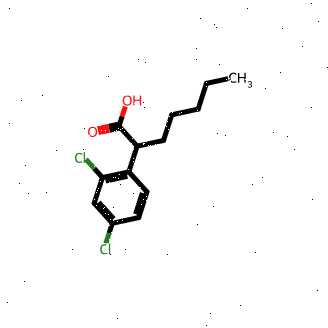 CCCCCC(C(=O)O)c1ccc(Cl)cc1Cl